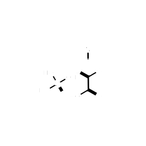 O=C(O)C(=O)O.O=P(O)(O)O.[F][Na]